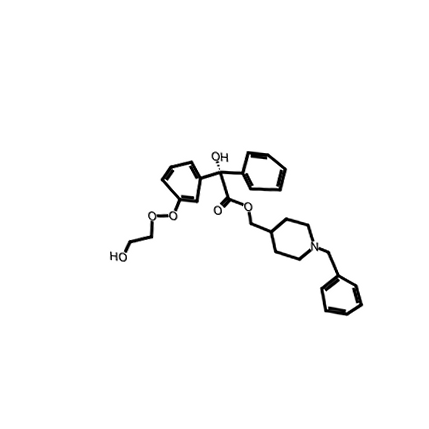 O=C(OCC1CCN(Cc2ccccc2)CC1)[C@](O)(c1ccccc1)c1cccc(OOCCO)c1